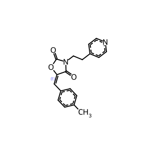 Cc1ccc(/C=C2/OC(=O)N(CCc3ccncc3)C2=O)cc1